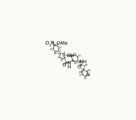 COc1cc(-c2ccc3c(c2)Nc2ccc(NC(=O)Cc4cccnc4)cc2NC3=O)ccc1[N+](=O)[O-]